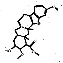 COC(=O)C1C(OC)C(O)CC2CN3CCc4c([nH]c5cc(OC)ccc45)C3(C)CC21C